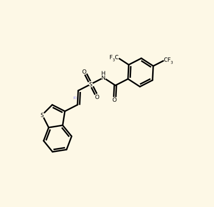 O=C(NS(=O)(=O)/C=C/c1csc2ccccc12)c1ccc(C(F)(F)F)cc1C(F)(F)F